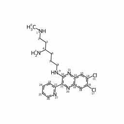 CNCCC(N)CCCNc1nc2cc(Cl)c(Cl)cc2nc1-c1ccccn1